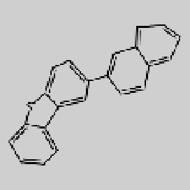 c1ccc2cc(-c3ccc4sc5ccccc5c4c3)ccc2c1